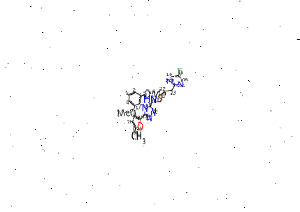 COc1cccc(OC)c1-n1c(NSCCc2ncc(F)cn2)nnc1-c1ccc(C)o1